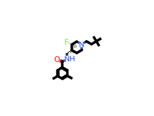 Cc1cc(C)cc(C(=O)NC[C@H]2CCN(CCC(C)(C)C)C[C@H]2F)c1